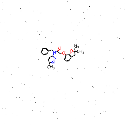 Cc1ccc(N(Cc2ccccc2)C(=O)COc2cccc3c2OC(C)(C)C3)nn1